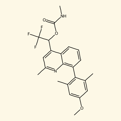 CNC(=O)OC(c1cc(C)nc2c(-c3c(C)cc(OC)cc3C)cccc12)C(F)(F)F